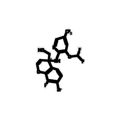 OC[C@]1(Nc2ncc(C(F)(F)F)cc2OC(F)F)C=COc2c1ccc(Br)c2F